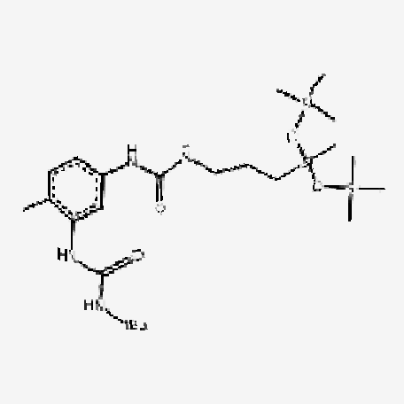 Cc1ccc(NC(=O)NCCC[Si](C)(O[Si](C)(C)C)O[Si](C)(C)C)cc1NC(=O)NC(C)(C)C